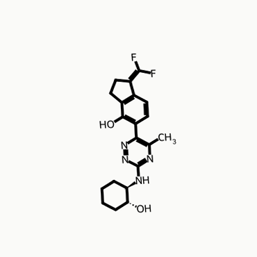 Cc1nc(N[C@@H]2CCCC[C@H]2O)nnc1-c1ccc2c(c1O)CCC2=C(F)F